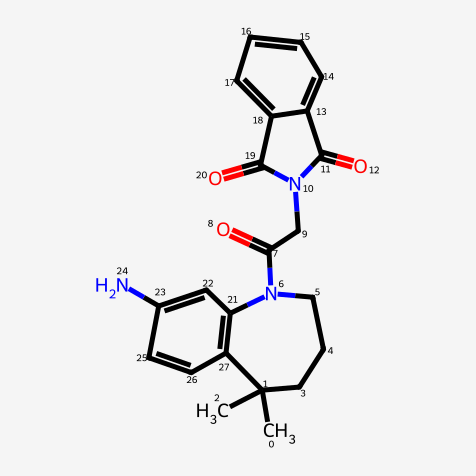 CC1(C)CCCN(C(=O)CN2C(=O)c3ccccc3C2=O)c2cc(N)ccc21